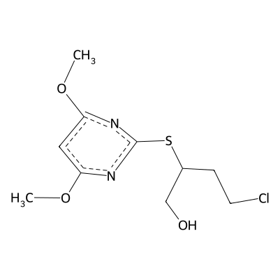 COc1cc(OC)nc(SC(CO)CCCl)n1